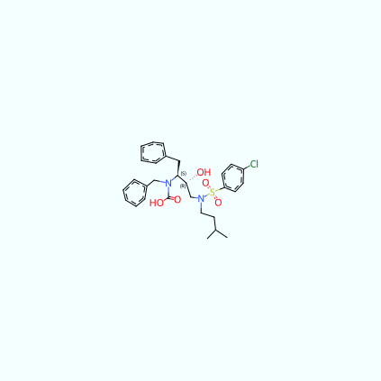 CC(C)CCN(C[C@@H](O)[C@H](Cc1ccccc1)N(Cc1ccccc1)C(=O)O)S(=O)(=O)c1ccc(Cl)cc1